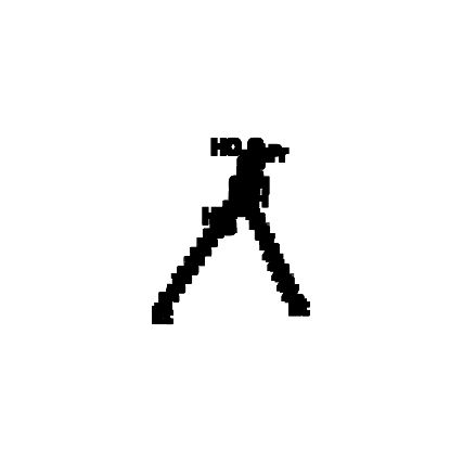 CCC=CCC=CCC=CCC=CCC=CCC=CCCC(=O)NCCCCC(NC(=O)CCC=CCC=CCC=CCC=CCC=CCC=CCC)C(=O)Nc1nc2c(s1)CC(N(CCC)C(=O)O)CC2